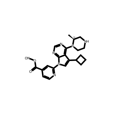 C[C@H]1CNCCN1c1ncnc2c1c(C1CCC1)cn2-c1cc(C(=O)ON=O)ccn1